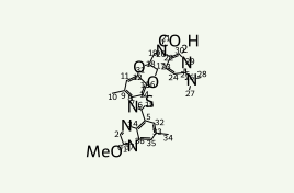 COc1cnc2c(-c3nc4c(C)cc5c(c4s3)OCC(CN(C(=O)O)c3ccc(N(C)C)nc3)O5)cc(C)cc2n1